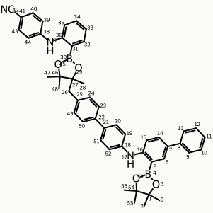 CC1(C)OB(c2cc(-c3ccccc3)ccc2Nc2ccc(-c3ccc(CC4(C)OB(c5ccccc5Nc5ccc(C#N)cc5)OC4(C)C)cc3)cc2)OC1(C)C